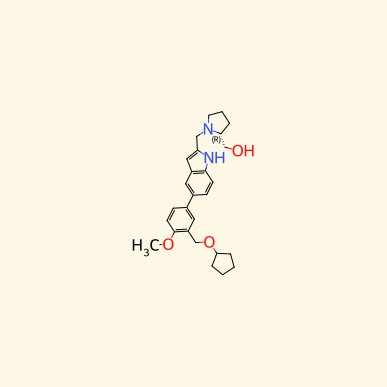 COc1ccc(-c2ccc3[nH]c(CN4CCC[C@@H]4CO)cc3c2)cc1COC1CCCC1